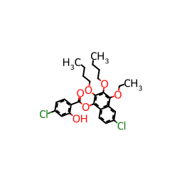 CCCCOc1c(OCCCC)c(OC(=O)c2ccc(Cl)cc2O)c2ccc(Cl)cc2c1OCC